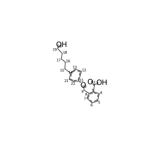 O=C(O)c1ccccc1COc1ccc(CCCCCO)cc1